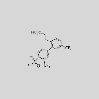 CCS(=O)(=O)c1ccc(-c2cc(C(F)(F)F)ccc2CCC(=O)O)cc1C(F)(F)F